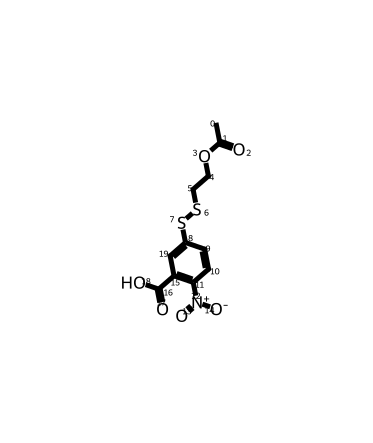 CC(=O)OCCSSc1ccc([N+](=O)[O-])c(C(=O)O)c1